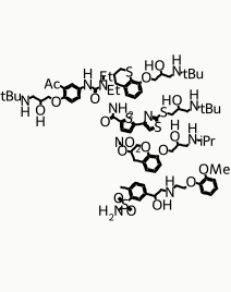 CC(C)(C)NCC(O)COc1cccc2c1SCCC2.CC(C)(C)NCC(O)CSc1nc(-c2ccc(C(N)=O)s2)cs1.CC(C)NCC(O)COc1cccc2c1OCC(O[N+](=O)[O-])C2.CCN(CC)C(=O)Nc1ccc(OCC(O)CNC(C)(C)C)c(C(C)=O)c1.COc1ccccc1OCCNCC(O)c1ccc(C)c(S(N)(=O)=O)c1